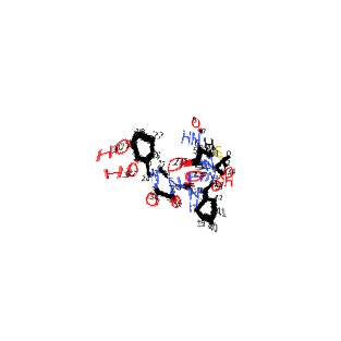 CC1(C)S[C@@H]2[C@H](NC=O)C(=O)N2[C@@]1(NC(=O)C(NC(=O)N1CCN(Cc2cccc(O)c2O)C(=O)C1=O)c1ccccc1)C(=O)O